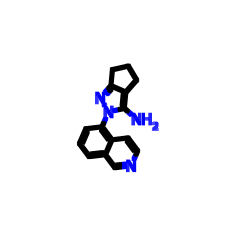 Nc1c2c(nn1-c1cccc3cnccc13)CCC2